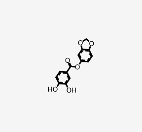 O=C(Oc1ccc2c(c1)OCO2)c1ccc(O)c(O)c1